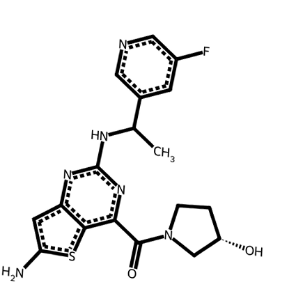 CC(Nc1nc(C(=O)N2CC[C@H](O)C2)c2sc(N)cc2n1)c1cncc(F)c1